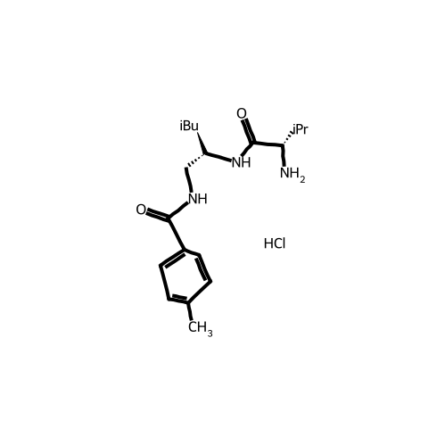 CC[C@H](C)[C@@H](CNC(=O)c1ccc(C)cc1)NC(=O)[C@@H](N)C(C)C.Cl